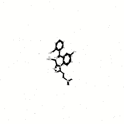 CN(C)CCc1nnc(CO)n1-c1ccc(F)cc1C(=O)c1ccccc1F